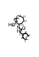 O=C(Cc1ccccc1)NC1CCCCCOB1O